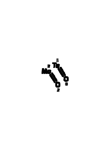 O=[Te].[O]=[Mo]